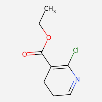 CCOC(=O)C1=C(Cl)N=CCC1